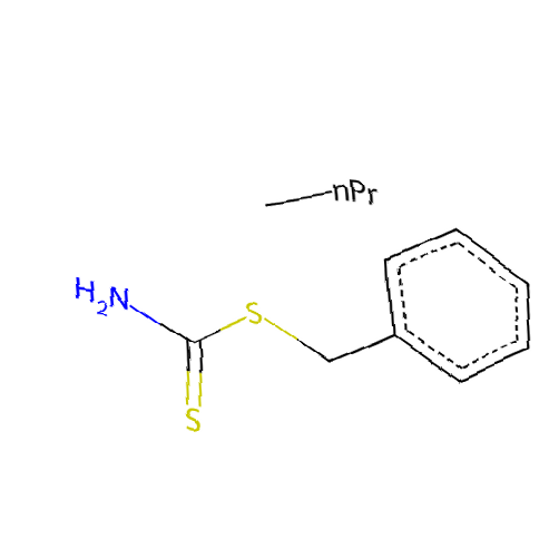 CCCC.NC(=S)SCc1ccccc1